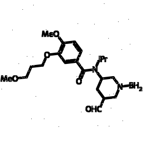 BN1CC(C=O)CC(N(C(=O)c2ccc(OC)c(OCCCOC)c2)C(C)C)C1